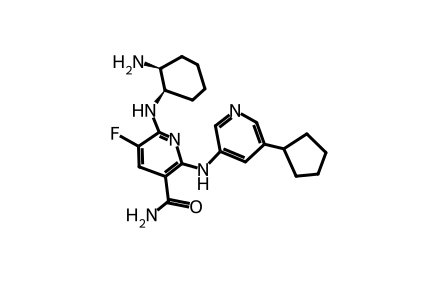 NC(=O)c1cc(F)c(N[C@@H]2CCCC[C@@H]2N)nc1Nc1cncc(C2CCCC2)c1